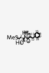 CSCC[C@@H](CO)NC(=O)[C@H](CS)Cc1ccccc1